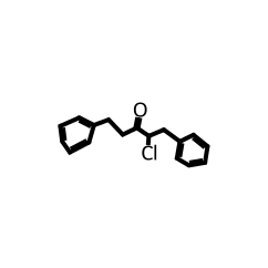 O=C(CCc1ccccc1)C(Cl)Cc1ccccc1